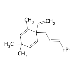 C=CC1(CC=CCCC)C=CC(C)(C)C=C1C